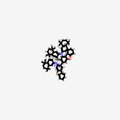 CC1(C)CCC(C)(C)c2cc(Nc3cc4sc5ccccc5c4cc3-c3cc4oc5ccccc5c4c4c3Bc3cc5c(cc3N4c3ccc4c(c3)C(C)(C)CCC4(C)C)C(C)(C)CCC5(C)C)ccc21